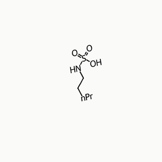 [CH2]CCCCNS(=O)(=O)O